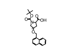 CC(C)(C)OC(=O)N1C[C@H](OCc2cccc3ccccc23)CC1C(=O)O